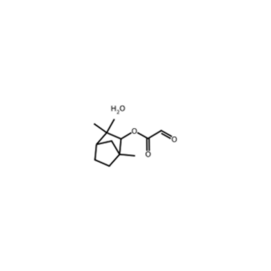 CC12CCC(C1)C(C)(C)C2OC(=O)C=O.O